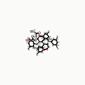 COC1=C(c2c(OC)cccc2P(c2cc(C)cc(C)c2)c2cc(C)cc(C)c2)C(P(c2cc(C)cc(C)c2)c2cc(C)cc(C)c2)C(OC(=O)C(C)(C)C)(OC(=O)C(C)(C)C)C=C1